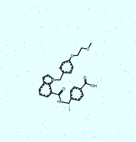 COCCOc1ccc(Cn2ccc3cccc(C(=O)N[C@@H](C)c4ccc(C(=O)O)cc4)c32)cc1